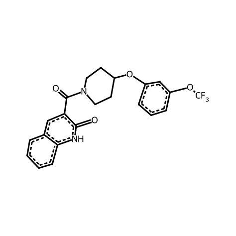 O=C(c1cc2ccccc2[nH]c1=O)N1CCC(Oc2cccc(OC(F)(F)F)c2)CC1